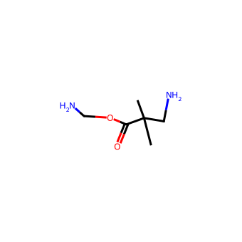 CC(C)(CN)C(=O)OCN